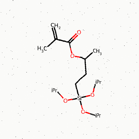 C=C(C)C(=O)OC(C)CC[Si](OC(C)C)(OC(C)C)OC(C)C